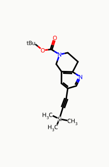 CC(C)(C)OC(=O)N1CCc2ncc(C#C[Si](C)(C)C)cc2C1